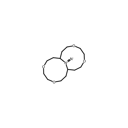 [N-]=[N+]1C2CCOCCOCCC1CCOCCOCC2